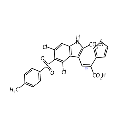 CCOC(=O)c1[nH]c2cc(Cl)c(S(=O)(=O)c3ccc(C)cc3)c(Cl)c2c1/C=C(/C(=O)O)c1ccsc1